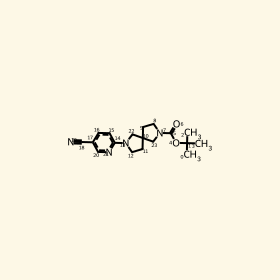 CC(C)(C)OC(=O)N1CCC2(CCN(c3ccc(C#N)cn3)C2)C1